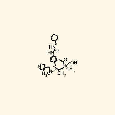 CC1CN([C@@H](C)CO)C(=O)Cc2cc(NC(=O)NCC3CCCCC3)ccc2O[C@H]1CN(C)Cc1ccncc1